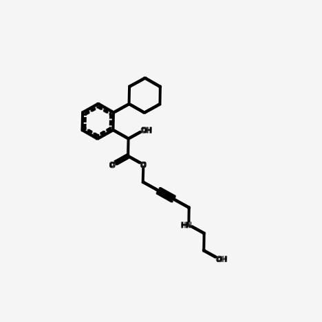 O=C(OCC#CCNCCO)C(O)c1ccccc1C1CCCCC1